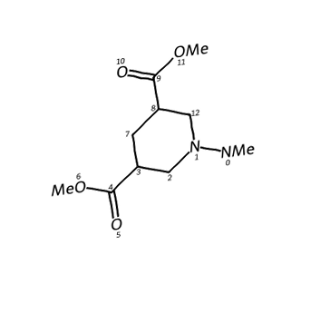 CNN1CC(C(=O)OC)CC(C(=O)OC)C1